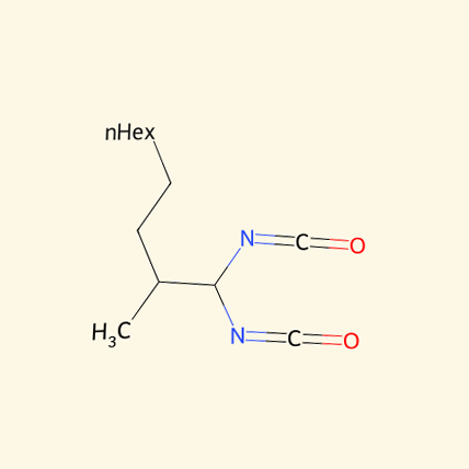 CCCCCCCCC(C)C(N=C=O)N=C=O